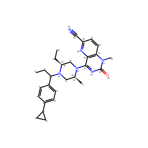 CCC(c1ccc(C2CC2)cc1)N1C[C@H](C)N(c2nc(=O)n(C)c3ccc(C#N)nc23)C[C@@H]1CC